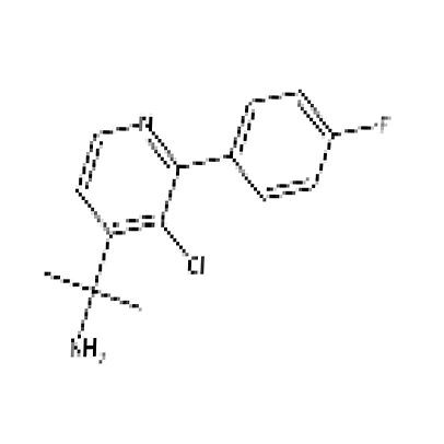 CC(C)(N)c1ccnc(-c2ccc(F)cc2)c1Cl